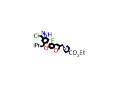 CCOC(=O)C1CCN(CC2=Cc3c(F)cc(OC(CC(C)C)c4ccc5[nH]nc(Cl)c5c4)cc3OC2)CC1